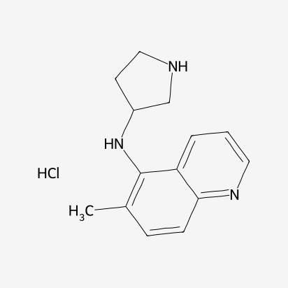 Cc1ccc2ncccc2c1NC1CCNC1.Cl